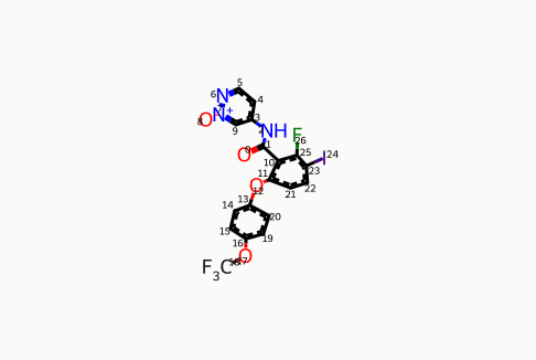 O=C(Nc1ccn[n+]([O-])c1)c1c(Oc2ccc(OC(F)(F)F)cc2)ccc(I)c1F